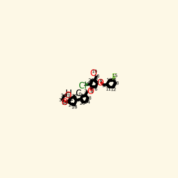 Cc1c(COc2cc(OCc3cccc(F)c3)c(C=O)cc2Cl)cccc1-c1ccc2c(c1)OCCO2